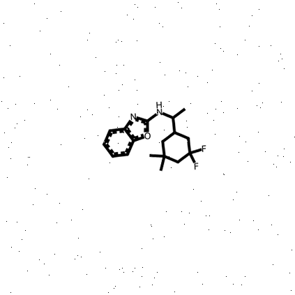 CC(Nc1nc2ccccc2o1)C1CC(C)(C)CC(F)(F)C1